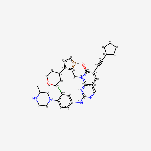 CC1CN(c2ccc(Nc3ncc4cc(C#CC5CCCC5)c(=O)n(Cc5sccc5C5CCOCC5)c4n3)cc2F)CCN1